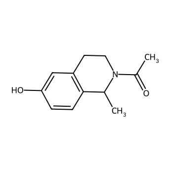 CC(=O)N1CCc2cc(O)ccc2C1C